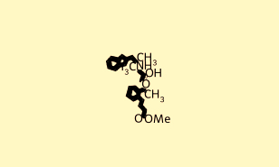 COC(=O)CCCc1ccccc1[C@@H](C)OC[C@H](O)CNC(C)(C)CC1Cc2ccccc2C1